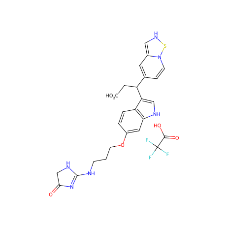 O=C(O)C(F)(F)F.O=C(O)CC(C1=CC2=CNSN2C=C1)c1c[nH]c2cc(OCCCNC3=NC(=O)CN3)ccc12